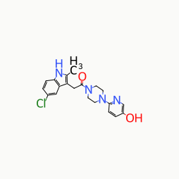 Cc1[nH]c2ccc(Cl)cc2c1CC(=O)N1CCN(c2ccc(O)cn2)CC1